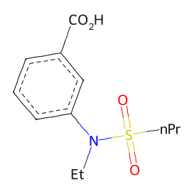 CCCS(=O)(=O)N(CC)c1cccc(C(=O)O)c1